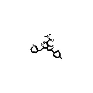 Cc1ccc(-c2cc3c(CC4=CSCC=C4)nnc(C(=O)N(C)C)c3s2)cc1